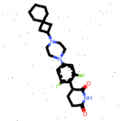 O=C1CCC(c2c(F)cc(N3CCN(C4CC5(CCCCC5)C4)CC3)cc2F)C(=O)N1